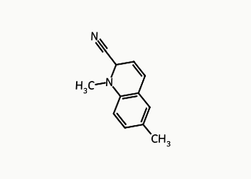 Cc1ccc2c(c1)C=CC(C#N)N2C